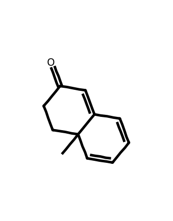 CC12C=CC=CC1=CC(=O)CC2